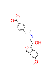 COC(=O)c1ccc(CC(C)NCC(O)c2occ3cc(OC)ccc23)cc1